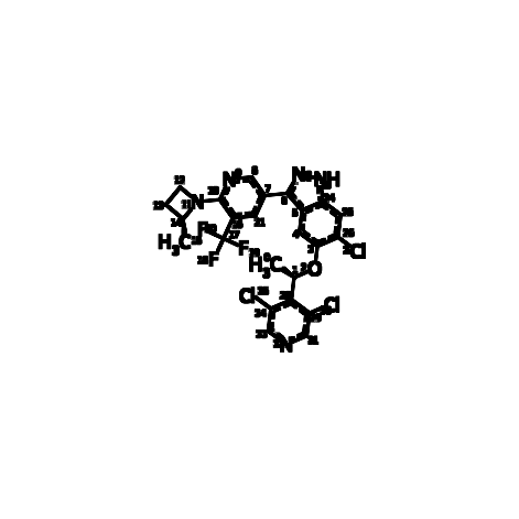 C[C@@H](Oc1cc2c(-c3cnc(N4CC[C@@H]4C)c(C(F)(F)F)c3)n[nH]c2cc1Cl)c1c(Cl)cncc1Cl